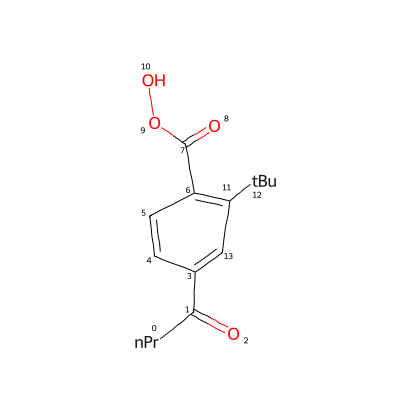 CCCC(=O)c1ccc(C(=O)OO)c(C(C)(C)C)c1